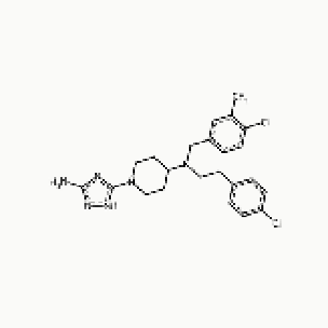 Nc1n[nH]c(N2CCC(N(CCc3ccc(Cl)cc3)Cc3ccc(Cl)c(C(F)(F)F)c3)CC2)n1